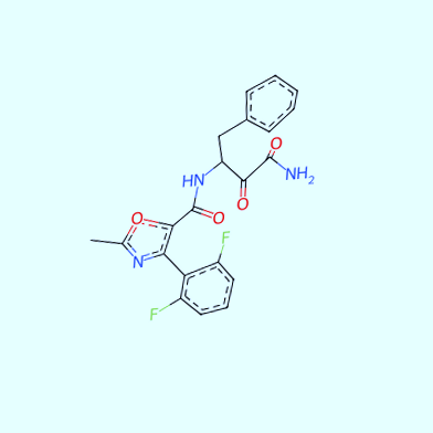 Cc1nc(-c2c(F)cccc2F)c(C(=O)NC(Cc2ccccc2)C(=O)C(N)=O)o1